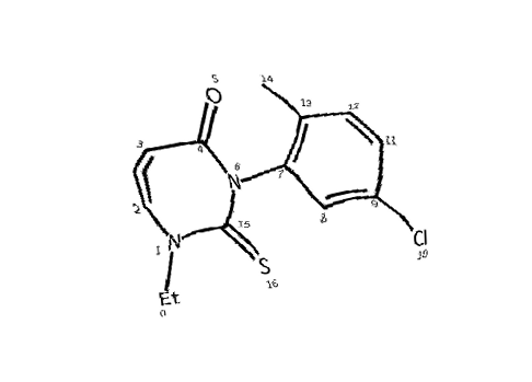 CCn1ccc(=O)n(-c2cc(Cl)ccc2C)c1=S